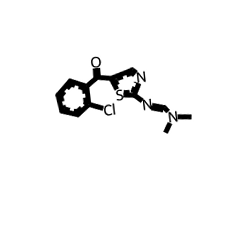 CN(C)/C=N/c1ncc(C(=O)c2ccccc2Cl)s1